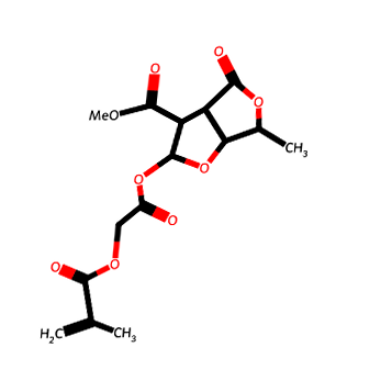 C=C(C)C(=O)OCC(=O)OC1OC2C(C)OC(=O)C2C1C(=O)OC